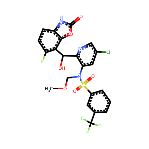 COCN(c1cc(Cl)cnc1C(O)c1c(F)ccc2[nH]c(=O)oc12)S(=O)(=O)c1cccc(C(F)(F)F)c1